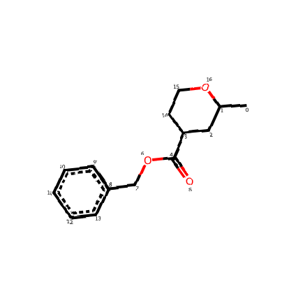 CC1CC(C(=O)OCc2ccccc2)CCO1